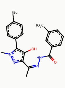 C/C(=N/NC(=O)c1cccc(C(=O)O)c1)c1nn(C)c(-c2ccc(C(C)(C)C)cc2)c1O